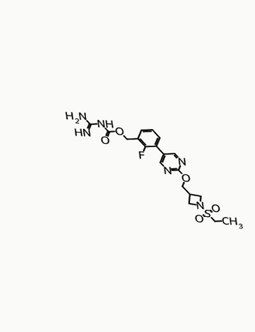 CCS(=O)(=O)N1CC(COc2ncc(-c3cccc(COC(=O)NC(=N)N)c3F)cn2)C1